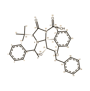 CC(c1ccccc1)N1[C@H](C(C)(C)C)C(=O)N(C(=O)O)[C@@]1(c1c(Cl)cccc1Cl)[C@@H](O)CCc1ccccc1